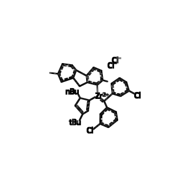 CCCCC1C=C(C(C)(C)C)C=[C]1[Zr+2](=[C](c1cccc(Cl)c1)c1cccc(Cl)c1)[c]1c(C)ccc2c1Cc1cc(C)ccc1-2.[Cl-].[Cl-]